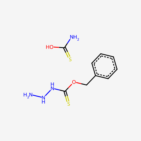 NC(O)=S.NNNC(=S)OCc1ccccc1